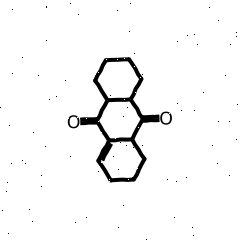 O=C1C2=CCCCC2C(=O)C2CCCCC12